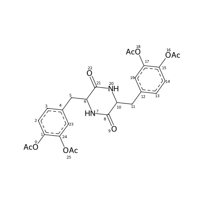 CC(=O)Oc1ccc(CC2NC(=O)C(Cc3ccc(OC(C)=O)c(OC(C)=O)c3)NC2=O)cc1OC(C)=O